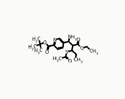 CCOC(=O)C(C(CC)SC(C)=O)C(N)c1ccc(C(=O)OC(C)(C)C)nc1